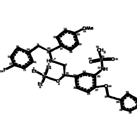 CC[Si](CC)(CC)O[C@@H](CN[C@@H](Cc1ccc(F)cc1)c1ccc(OC)cc1)c1ccc(OCc2ccccc2)c(NS(C)(=O)=O)c1